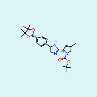 CC1=C[C@@H](c2ncc(-c3ccc(B4OC(C)(C)C(C)(C)O4)cc3)[nH]2)N(C(=O)OC(C)(C)C)C1